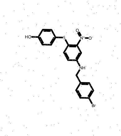 O=[N+]([O-])c1cc(NCc2ccc(Br)cc2)ccc1Sc1ccc(O)cc1